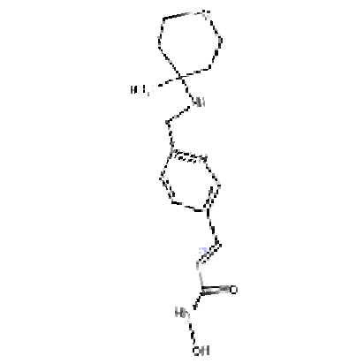 O=C(/C=C/c1ccc(CNC2(C(=O)O)CCOCC2)nc1)NO